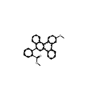 COC(=O)c1ccccc1-c1cc2c3ccccc3c3cc(OC)ccc3c2c2ccccc12